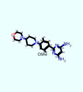 COc1cc(N2CCC(N3CCOCC3)CC2)c(C)cc1-c1nc(N)cc(N)n1